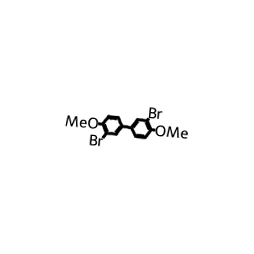 COc1ccc(-c2ccc(OC)c(Br)c2)cc1Br